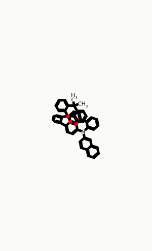 CC1(C)c2ccccc2C2(c3ccccc3-c3ccc(N(c4ccc5ccccc5c4)c4ccccc4-c4ccccc4)cc32)c2ccccc21